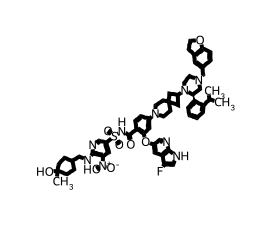 CC(C)c1ccccc1[C@@H]1CN(Cc2ccc3c(c2)CCO3)CCN1C1CC2(CCN(c3ccc(C(=O)NS(=O)(=O)c4cnc(NCC5CCC(C)(O)CC5)c([N+](=O)[O-])c4)c(Oc4cnc5[nH]cc(F)c5c4)c3)CC2)C1